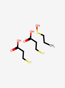 CCCSO.O=C(O)CCS.O=C(O)CCS